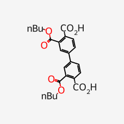 CCCCOC(=O)c1cc(-c2ccc(C(=O)O)c(C(=O)OCCCC)c2)ccc1C(=O)O